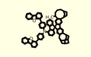 CC1CCCC2CCC(C2)c2cc3c(cc21)C1(c2cc4c(cc2-3)C2CC3CC5CC4CC35C2)c2ccccc2-c2c(N(c3ccc(-c4cccc5c4oc4ccccc45)cc3)c3ccc(-c4cccc5c4oc4ccccc45)cc3)cccc21